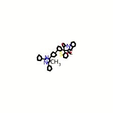 Cc1c(-c2ccccc2)nc(-c2ccccc2)nc1-c1ccc(-c2cccc3c2Sc2ccccc2C32c3ccccc3-n3c4ccccc4c4cccc2c43)cc1